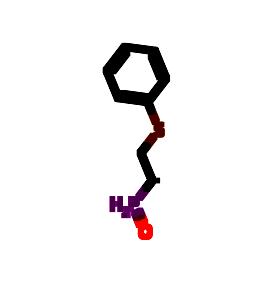 O=[PH2][CH]CSc1ccccc1